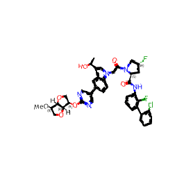 CO[C@@H]1CO[C@H]2[C@@H]1OC[C@H]2Oc1ncc(-c2ccc3c(c2)c(C(C)O)cn3CC(=O)N2C[C@H](F)C[C@H]2C(=O)Nc2cccc(-c3ccccc3Cl)c2F)cn1